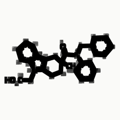 CC1(C(=O)N(Cc2ccccc2)c2ccccc2)CCc2c(c3ccccc3n2CC(=O)O)C1